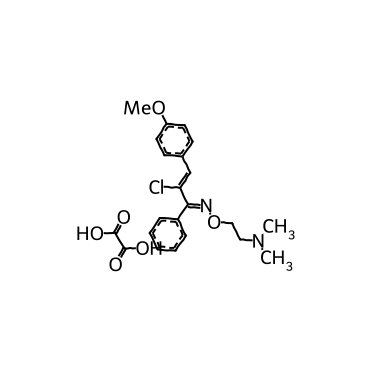 COc1ccc(C=C(Cl)C(=NOCCN(C)C)c2ccccc2)cc1.O=C(O)C(=O)O